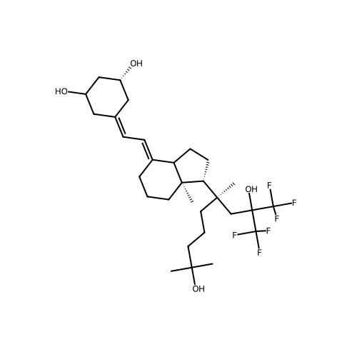 CC(C)(O)CCC[C@](C)(CC(O)(C(F)(F)F)C(F)(F)F)[C@H]1CCC2/C(=C/C=C3/CC(O)C[C@H](O)C3)CCC[C@@]21C